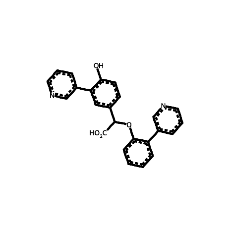 O=C(O)C(Oc1ccccc1-c1cccnc1)c1ccc(O)c(-c2cccnc2)c1